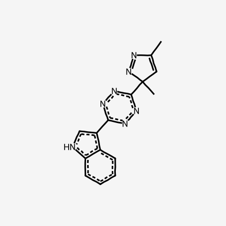 CC1=CC(C)(c2nnc(-c3c[nH]c4ccccc34)nn2)N=N1